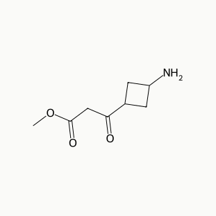 COC(=O)CC(=O)C1CC(N)C1